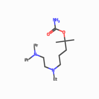 CCN(CCCC(C)(C)OC(N)=O)CCN(C(C)C)C(C)C